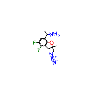 C[C@@H](N)c1cc(F)c(F)c2c1OC(C)(CN=[N+]=[N-])C2